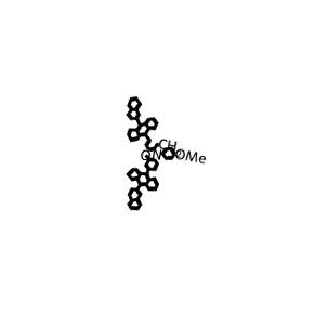 C=CC1=C(/C=C/c2c3ccccc3c(-c3ccc4ccccc4c3)c3ccccc23)Oc2cc(-c3c4ccccc4c(-c4ccc5ccccc5c4)c4ccccc34)ccc2N1c1ccc(OC)cc1